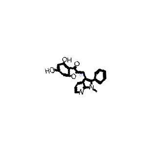 Cn1c(-c2ccccc2)c(/C=C2\Oc3cc(O)cc(O)c3C2=O)c2cccnc21